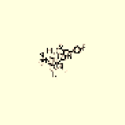 CC1(c2cc(-c3ccc(F)cc3)nc3cc(C(=O)N4CCN(C(=O)C5CC5)CC4(C)C)oc23)CC1